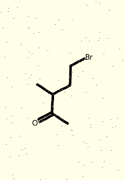 CC(=O)C(C)CCBr